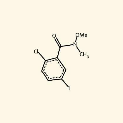 CON(C)C(=O)c1cc(I)ccc1Cl